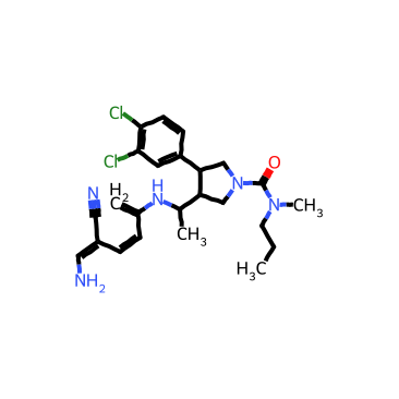 C=C(/C=C\C(C#N)=C/N)NC(C)C1CN(C(=O)N(C)CCC)CC1c1ccc(Cl)c(Cl)c1